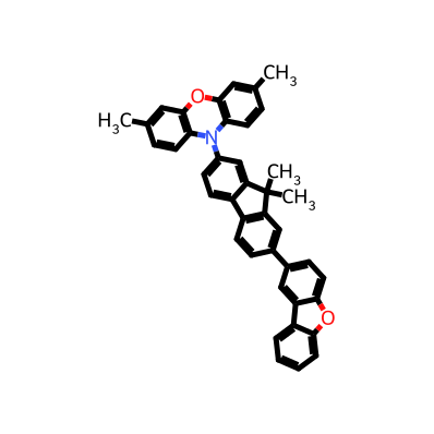 Cc1ccc2c(c1)Oc1cc(C)ccc1N2c1ccc2c(c1)C(C)(C)c1cc(-c3ccc4oc5ccccc5c4c3)ccc1-2